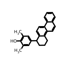 Cc1cc(C2CCCc3c2ccc2c3ccc3ccccc32)cc(C)c1O